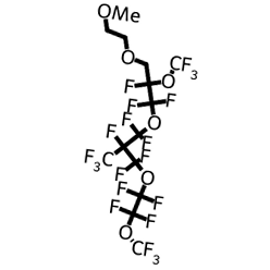 COCCOCC(F)(OC(F)(F)F)C(F)(F)OC(F)(F)C(F)(C(F)(F)F)C(F)(F)OC(F)(F)C(F)(F)OC(F)(F)F